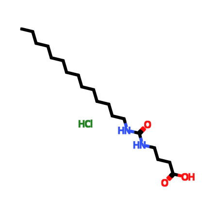 CCCCCCCCCCCCCCNC(=O)NCCCC(=O)O.Cl